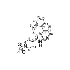 CN1Cc2c(C3=CCN(S(C)(=O)=O)CC3)[nH]c3ncc(F)c(c23)-c2ccccc21